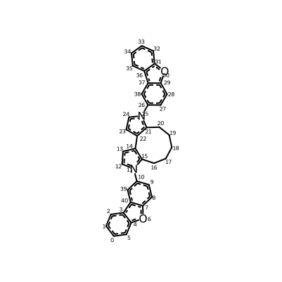 c1ccc2c(c1)oc1ccc(-n3ccc4c3CCCCCc3c-4ccn3-c3ccc4oc5ccccc5c4c3)cc12